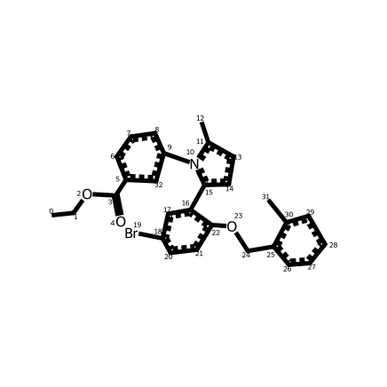 CCOC(=O)c1cccc(-n2c(C)ccc2-c2cc(Br)ccc2OCc2ccccc2C)c1